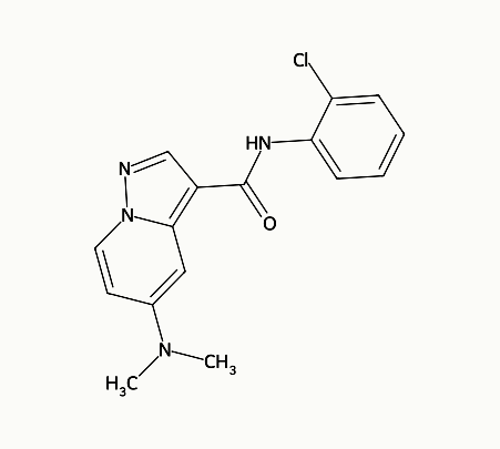 CN(C)c1ccn2ncc(C(=O)Nc3ccccc3Cl)c2c1